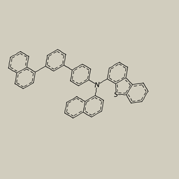 c1cc(-c2ccc(N(c3cccc4ccccc34)c3cccc4c3sc3ccccc34)cc2)cc(-c2cccc3ccccc23)c1